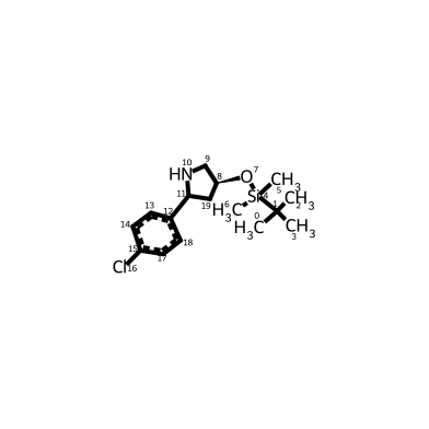 CC(C)(C)[Si](C)(C)O[C@@H]1CNC(c2ccc(Cl)cc2)C1